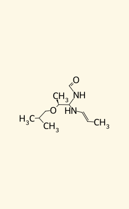 C/C=C/NC(NC=O)[C@H](C)OCC(C)C